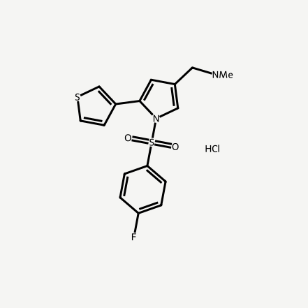 CNCc1cc(-c2ccsc2)n(S(=O)(=O)c2ccc(F)cc2)c1.Cl